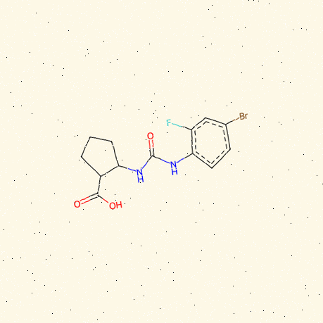 O=C(Nc1ccc(Br)cc1F)NC1CCCC1C(=O)O